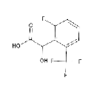 O=C(O)C(O)c1c(F)cccc1C(F)(F)F